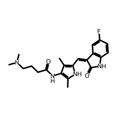 Cc1[nH]c(/C=C2\C(=O)Nc3ccc(F)cc32)c(C)c1NC(=O)CCCN(C)C